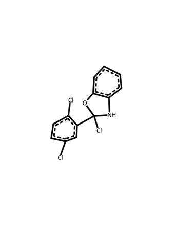 Clc1ccc(Cl)c(C2(Cl)Nc3ccccc3O2)c1